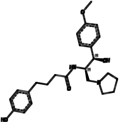 COc1ccc([C@@H](O)[C@@H](CN2CCCC2)NC(=O)CCCc2ccc(O)cc2)cc1